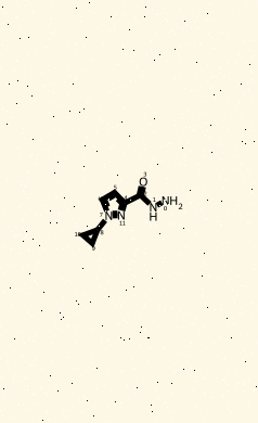 NNC(=O)c1ccn(C2CC2)n1